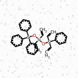 C=C[Si](C=C)(O[Si](C=C)(C=C)c1ccccc1)O[Si](c1ccccc1)(c1ccccc1)c1ccccc1